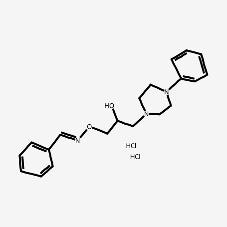 Cl.Cl.OC(CON=Cc1ccccc1)CN1CCN(c2ccccc2)CC1